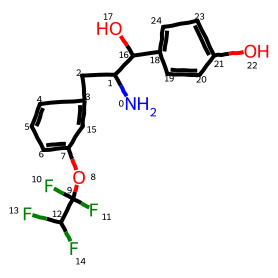 NC(Cc1cccc(OC(F)(F)C(F)F)c1)C(O)c1ccc(O)cc1